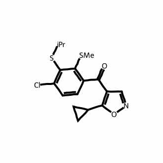 CSc1c(C(=O)c2cnoc2C2CC2)ccc(Cl)c1SC(C)C